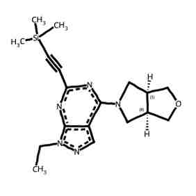 CCn1ncc2c(N3C[C@H]4COC[C@H]4C3)nc(C#C[Si](C)(C)C)nc21